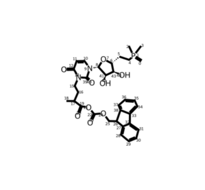 C=P(C)(C)CC[C@H]1O[C@@H](n2ccc(=O)n(CCC(C)C(=O)OC(=O)OCC3c4ccccc4-c4ccccc43)c2=O)[C@H](O)[C@@H]1O